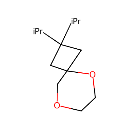 CC(C)C1(C(C)C)CC2(COCCO2)C1